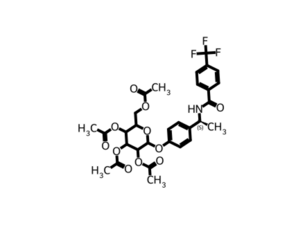 CC(=O)OCC1OC(Oc2ccc([C@H](C)NC(=O)c3ccc(C(F)(F)F)cc3)cc2)C(OC(C)=O)C(OC(C)=O)C1OC(C)=O